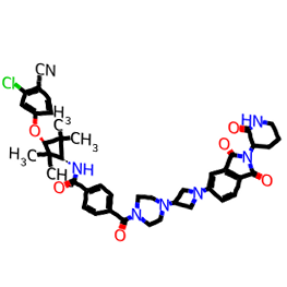 CC1(C)[C@H](NC(=O)c2ccc(C(=O)N3CCN(C4CN(c5ccc6c(c5)C(=O)N(C5CCCNC5=O)C6=O)C4)CC3)cc2)C(C)(C)[C@H]1Oc1ccc(C#N)c(Cl)c1